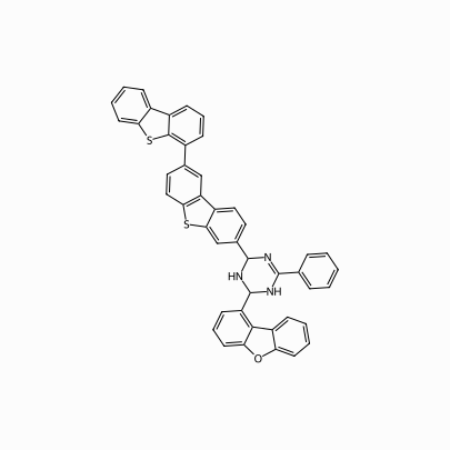 c1ccc(C2=NC(c3ccc4c(c3)sc3ccc(-c5cccc6c5sc5ccccc56)cc34)NC(c3cccc4oc5ccccc5c34)N2)cc1